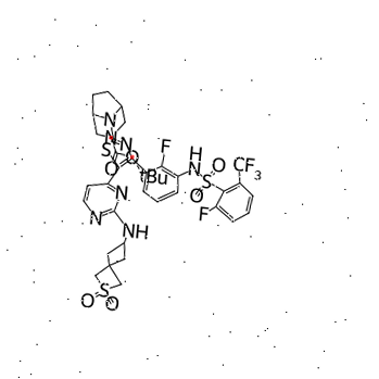 CC(C)(C)OC(=O)N1CC2CCC(C1)N2c1nc(-c2cccc(NS(=O)(=O)c3c(F)cccc3C(F)(F)F)c2F)c(-c2ccnc(NC3CC4(C3)CS(=O)(=O)C4)n2)s1